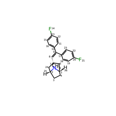 CN1[C@@H]2CC[C@H]1C[C@@H](C=C(c1ccc(F)cc1)c1ccc(F)cc1)C2